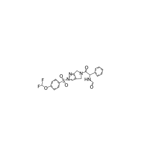 O=CNC(C(=O)N1Cc2cn(S(=O)(=O)c3ccc(OC(F)F)cc3)nc2C1)c1ccccc1